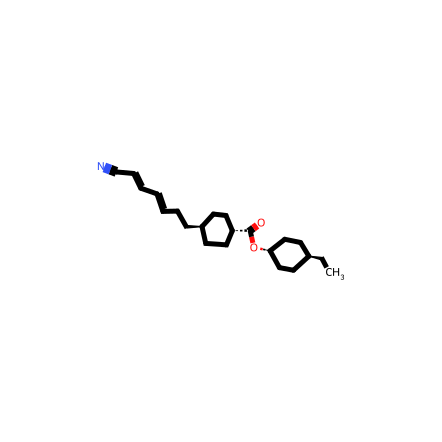 CC[C@H]1CC[C@H](OC(=O)[C@H]2CC[C@H](CCC=CC=CC#N)CC2)CC1